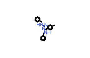 Cc1ccc2c(NCc3ccccc3)nc(NCc3ccccc3)nc2c1